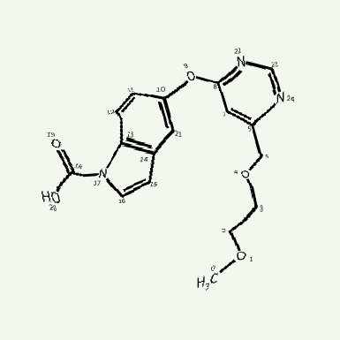 COCCOCc1cc(Oc2ccc3c(ccn3C(=O)O)c2)ncn1